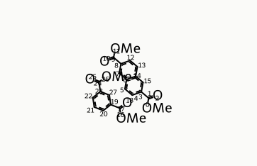 COC(=O)c1ccc2cc(C(=O)OC)ccc2c1.COC(=O)c1cccc(C(=O)OC)c1